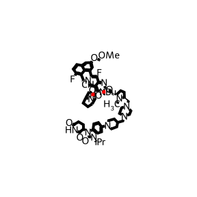 C#Cc1c(F)ccc2cc(OCOC)cc(-c3ncc4c(N5CC6CCC(C5)N6C(=O)OC(C)(C)C)nc(OC[C@@H]5CC[C@@H](CN6CCN(CC7CCN(c8ccc9c(c8)n(C(C)C)c(=O)n9C8CCC(=O)NC8=O)CC7)CC6)N5C)nc4c3F)c12